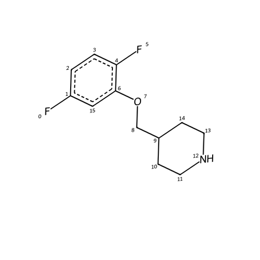 Fc1ccc(F)c(OCC2CCNCC2)c1